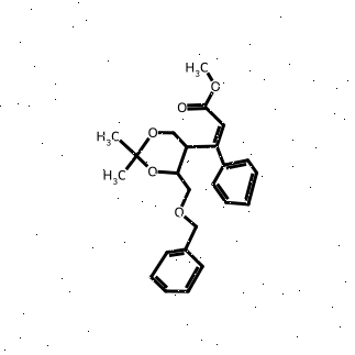 COC(=O)C=C(c1ccccc1)C1COC(C)(C)OC1COCc1ccccc1